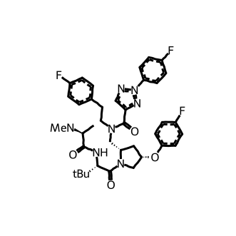 CN[C@@H](C)C(=O)N[C@H](C(=O)N1C[C@@H](Oc2ccc(F)cc2)C[C@H]1CN(CCc1ccc(F)cc1)C(=O)c1cnn(-c2ccc(F)cc2)n1)C(C)(C)C